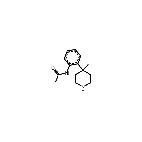 CC(=O)Nc1ccccc1C1(C)CCNCC1